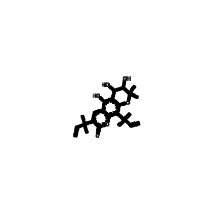 C=CC(C)(C)c1cc2c(O)c3c(c(C(C)(C)C=C)c2oc1=O)OC(C)(C)C(O)C3O